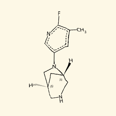 Cc1cc(N2C[C@@H]3CNC[C@@H]2C3)cnc1F